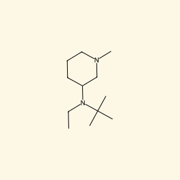 CCN(C1CCCN(C)C1)C(C)(C)C